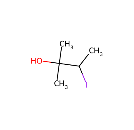 CC(I)C(C)(C)O